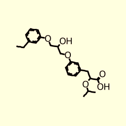 CCc1cccc(OCC(O)COc2cccc(CC(OC(C)C)C(=O)O)c2)c1